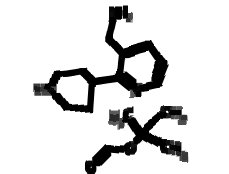 CC(C)(C)OC=O.NCc1cccnc1C1CCNCC1